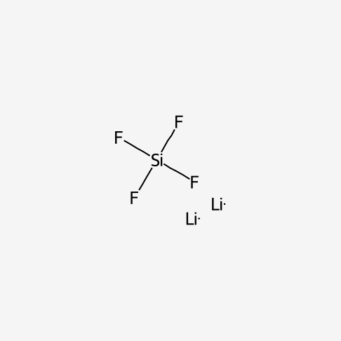 F[Si](F)(F)F.[Li].[Li]